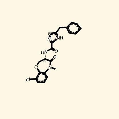 CN1C(=O)[C@@H](NC(=O)c2nnc(Cc3ccccc3)[nH]2)COc2c(Cl)cccc21